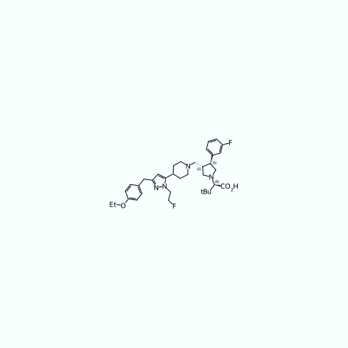 CCOc1ccc(Cc2cc(C3CCN(C[C@H]4CN([C@@H](C(=O)O)C(C)(C)C)C[C@@H]4c4cccc(F)c4)CC3)n(CCF)n2)cc1